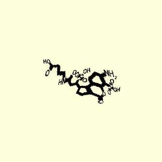 Nc1ccc2c3c(c(=O)oc2c1S(=O)(=O)O)CCC3C(CC(=O)NCCCC(=O)O)S(=O)(=O)O